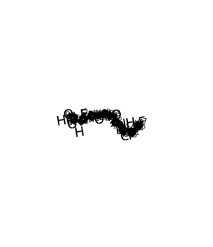 O=C1CCC(Nc2ccc(C3CCN(CC(=O)N4CCC5(C4)CN(C(=O)C4CCCC(Nc6ncc(Cl)c(-c7cccc(-c8ccc(F)cc8)c7)n6)C4)C5)CC3)c(F)c2)C(=O)N1